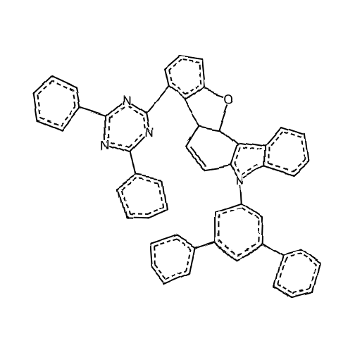 C1=CC2c3c(cccc3-c3nc(-c4ccccc4)nc(-c4ccccc4)n3)OC2c2c1n(-c1cc(-c3ccccc3)cc(-c3ccccc3)c1)c1ccccc21